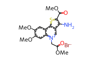 COC(=O)C[n+]1cc2c(N)c(C(=O)OC)sc2c2cc(OC)c(OC)cc21.[Br-]